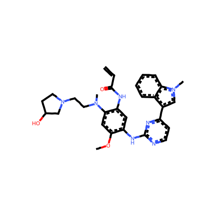 C=CC(=O)Nc1cc(Nc2nccc(-c3cn(C)c4ccccc34)n2)c(OC)cc1N(C)CCN1CCC(O)C1